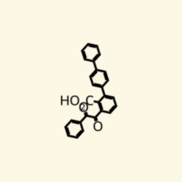 O=C(C(=O)c1cccc(-c2ccc(-c3ccccc3)cc2)c1C(=O)O)c1ccccc1